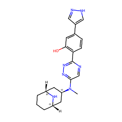 CN(c1cnc(-c2ccc(-c3cn[nH]c3)cc2O)nn1)[C@@H]1C[C@H]2CCC[C@@H](C1)N2